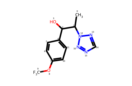 CC(C(O)c1ccc(OC(F)(F)F)cc1)n1ncnn1